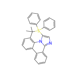 CC1(C)c2cccc3c4ccccc4c4ncc(n4c23)S1(c1ccccc1)c1ccccc1